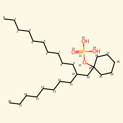 CCCCCCCCCCC(CCCCCCCC)CC1(OP(=O)(O)O)CCCCC1